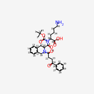 CC(C)(C)OC(=O)N(C(=O)[C@@H]1Cc2ccccc2CN1C(=O)CCC(=O)c1ccccc1)[C@@H](CCCCN)C(=O)O